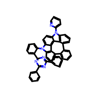 c1ccc(-c2nc(-c3ccccc3)nc(-c3ccccc3-n3c4cccc5c6ccccc6c6cccc7c6c6c(c54)c3ccc6n7-c3ccccn3)n2)cc1